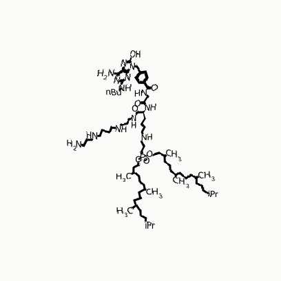 CCCCNc1nc(N)c2nc(O)n(Cc3ccc(C(=O)NCC(=O)N[C@@H](CCCCNCCCP(=O)(OCCC(C)CCCC(C)CCCC(C)CCCC(C)C)OCCC(C)CCCC(C)CCCC(C)CCCC(C)C)C(=O)NCCCNCCCCNCCCN)cc3)c2n1